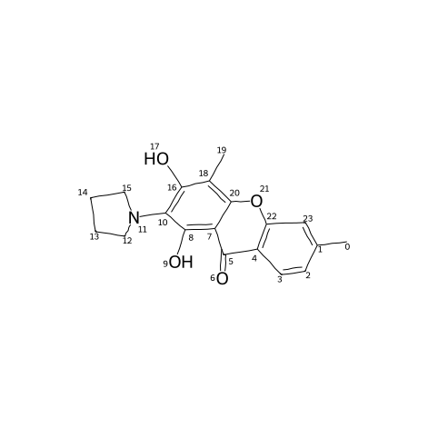 Cc1ccc2c(=O)c3c(O)c(N4CCCC4)c(O)c(C)c3oc2c1